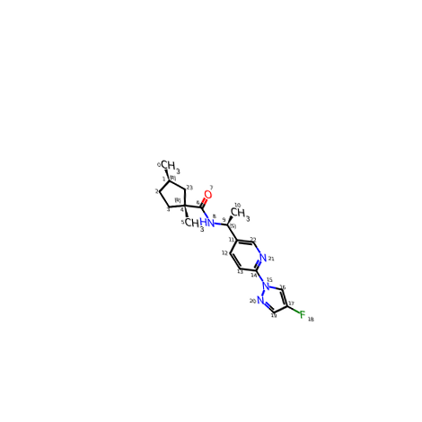 C[C@@H]1CC[C@@](C)(C(=O)N[C@@H](C)c2ccc(-n3cc(F)cn3)nc2)C1